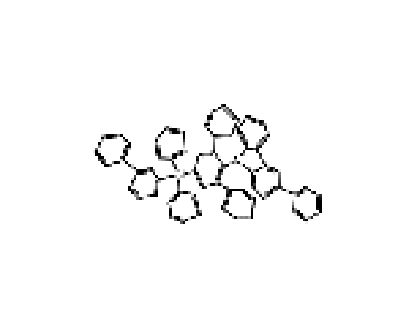 c1ccc(-c2cccc([Si](c3ccccc3)(c3ccccc3)c3cc(-c4ccccc4)c(-n4c5ccccc5c5cc(-c6ccccc6)ccc54)c(-c4ccccc4)c3)c2)cc1